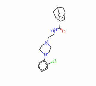 O=C(NCCN1CCN(c2ccccc2Cl)CC1)C12CC3CC(CC1C3)C2